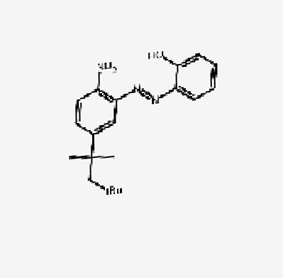 CC(C)(C)CC(C)(C)c1ccc([N+](=O)[O-])c(/N=N/c2ccccc2O)c1